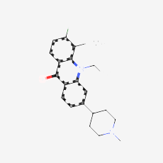 COc1c(Cl)ccc2c(=O)c3ccc(C4CCN(C)CC4)cc3n(CC(=O)O)c12